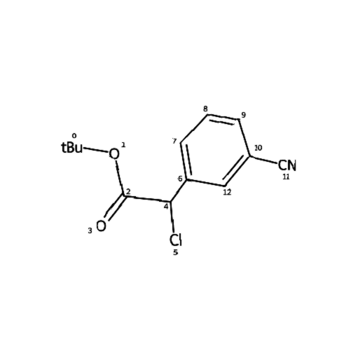 CC(C)(C)OC(=O)C(Cl)c1cccc(C#N)c1